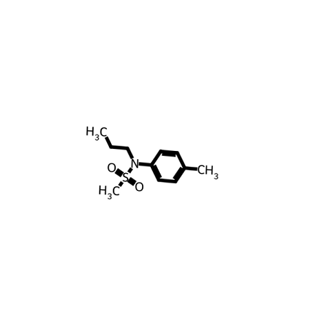 CCCN(c1ccc(C)cc1)S(C)(=O)=O